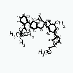 COCCn1cnc(-c2cc(C)c3nc(C4CC4)n(Cc4ccc(-c5ccccc5C(=O)OC(C)(C)C)cc4)c3c2)c1